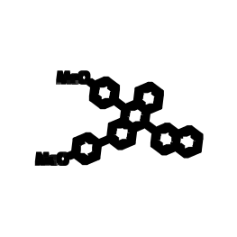 COc1ccc(-c2ccc3c(-c4ccc5ccccc5c4)c4ccccc4c(-c4ccc(OC)cc4)c3c2)cc1